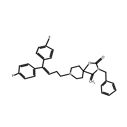 C=C1N(Cc2ccccc2)C(=O)OC12CCN(CCC=C(c1ccc(F)cc1)c1ccc(F)cc1)CC2